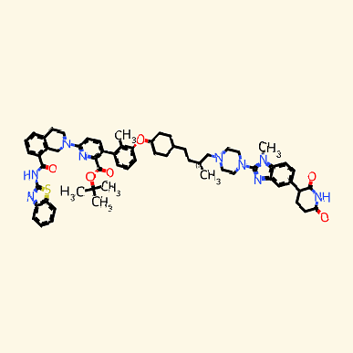 Cc1c(OC2CCC(CC[C@H](C)CN3CCN(c4nc5cc(C6CCC(=O)NC6=O)ccc5n4C)CC3)CC2)cccc1-c1ccc(N2CCc3cccc(C(=O)Nc4nc5ccccc5s4)c3C2)nc1C(=O)OC(C)(C)C